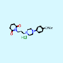 COc1ccc(N2CCN(CCCN3C(=O)CCCC3=O)CC2)cc1.Cl